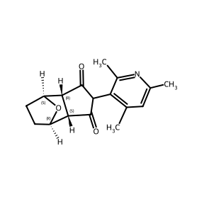 Cc1cc(C)c(C2C(=O)[C@@H]3[C@H](C2=O)[C@H]2CC[C@@H]3O2)c(C)n1